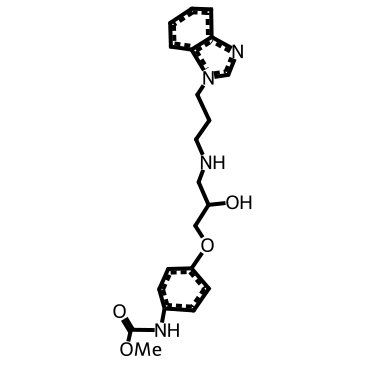 COC(=O)Nc1ccc(OCC(O)CNCCCn2cnc3ccccc32)cc1